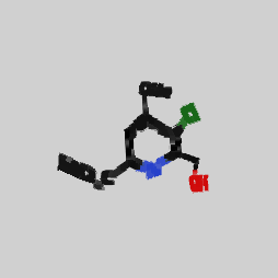 CCOC(=O)c1cc(OC)c(Cl)c(CO)n1